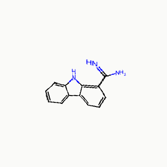 N=C(N)c1cccc2c1[nH]c1ccccc12